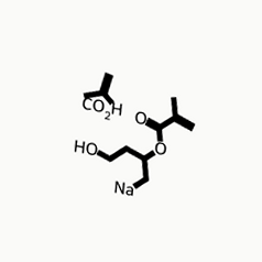 C=C(C)C(=O)O.C=C(C)C(=O)OC([CH2][Na])CCO